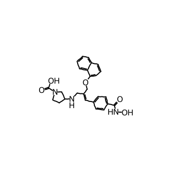 O=C(NO)c1ccc(/C=C(/CNC2CCN(C(=O)O)C2)COc2cccc3ccccc23)cc1